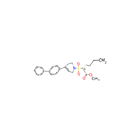 CCCC[C@H](C(=O)OC)S(=O)(=O)N1CC=C(c2ccc(-c3ccccc3)cc2)CC1